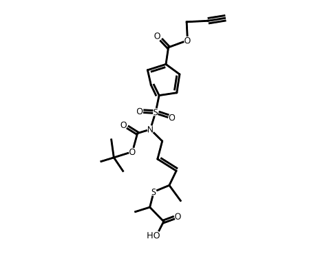 C#CCOC(=O)c1ccc(S(=O)(=O)N(C/C=C/C(C)SC(C)C(=O)O)C(=O)OC(C)(C)C)cc1